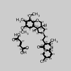 COc1cc2c(c(OC)c1C)OC[C@@H]1CN(CCc3c(C)nc4ccc(Cl)cn4c3=O)C[C@H]21.O=C(O)/C=C/C(=O)O